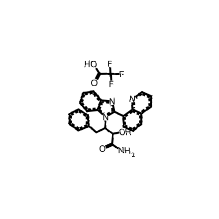 NC(=O)C(O)C(Cc1ccccc1)n1c(-c2cccc3cccnc23)nc2ccccc21.O=C(O)C(F)(F)F